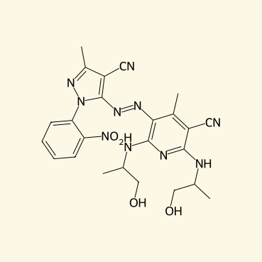 Cc1nn(-c2ccccc2[N+](=O)[O-])c(N=Nc2c(NC(C)CO)nc(NC(C)CO)c(C#N)c2C)c1C#N